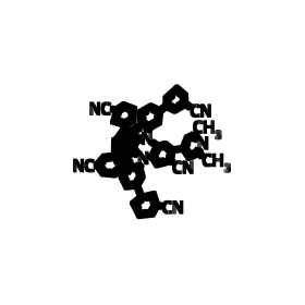 Cc1cc(-c2cc(-n3c4cc(-c5cccc(C#N)c5)ccc4c4ccc(-c5cccc(C#N)c5)cc43)c(-n3c4cc(-c5cccc(C#N)c5)ccc4c4ccc(-c5cccc(C#N)c5)cc43)cc2C#N)cc(C)n1